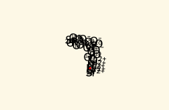 O=P([O-])([O-])[O-].O=P([O-])([O-])[O-].O=P([O-])([O-])[O-].O=P([O-])([O-])[O-].[Ni+2].[Ni+2].[Ni+2].[Sr+2].[Sr+2].[Sr+2]